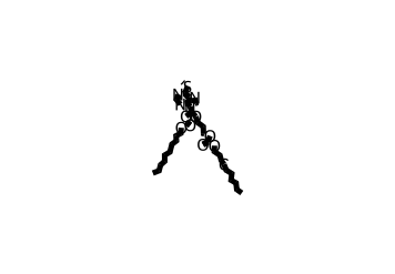 CCCCCCCCCCOC(=O)OCCCOC(OC(=O)OCCCCCCCCCC)n1cnc2c(SC)ncnc21